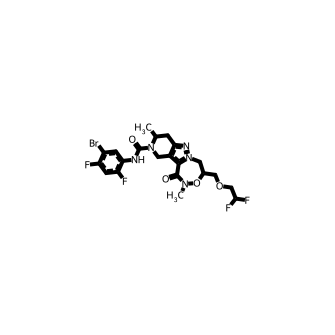 CC1Cc2nn3c(c2CN1C(=O)Nc1cc(Br)c(F)cc1F)C(=O)N(C)OC(COCC(F)F)C3